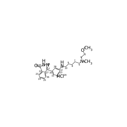 COCCN(C)CCCCCNc1cccc(-c2n[nH]c(=O)c3ccccc23)c1.Cl